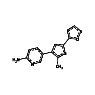 Cc1sc(-c2ccno2)cc1-c1ccc(N)nc1